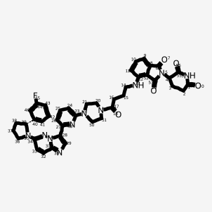 O=C1CCC(N2C(=O)c3cccc(NCCCC(=O)N4CCN(c5cccc(-c6cnc7ccc(N8CCC[C@@H]8c8cccc(F)c8)nn67)n5)CC4)c3C2=O)C(=O)N1